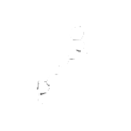 N#Cc1ccc(CCNC[C@H](O)CP(=O)(O)CC2CCCCC2)cc1